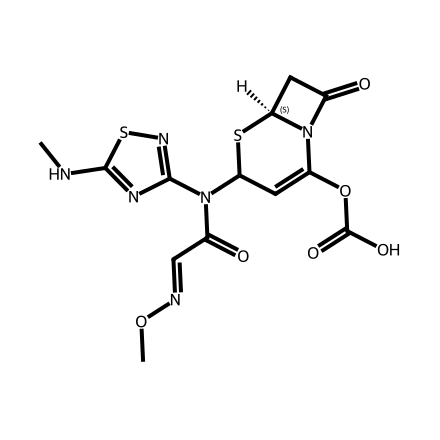 CNc1nc(N(C(=O)C=NOC)C2C=C(OC(=O)O)N3C(=O)C[C@@H]3S2)ns1